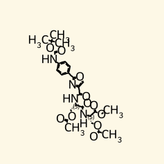 COC(=O)[C@H](COC(C)=O)NC(=O)[C@H](COC(C)=O)NC(=O)c1coc(-c2ccc(NC(=O)OC(C)(C)C)cc2)n1